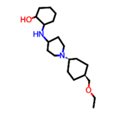 CCOC[C@H]1CC[C@H](N2CCC(NC3CCCCC3O)CC2)CC1